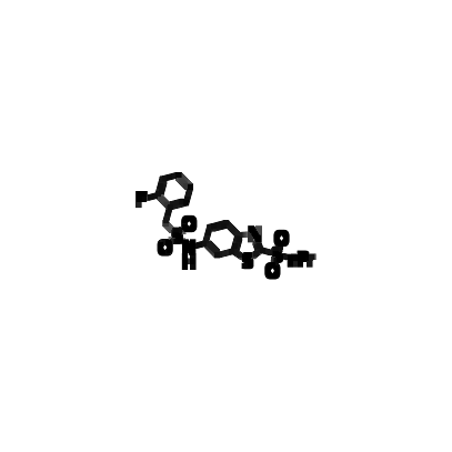 CCCS(=O)(=O)c1nc2ccc(NS(=O)(=O)Cc3ccccc3F)cc2s1